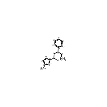 CC(CC(CN)c1ncccn1)c1ccc(Br)s1